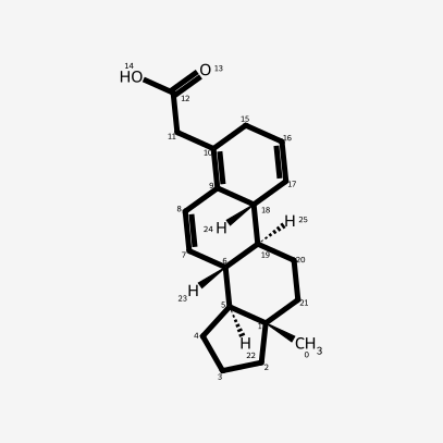 C[C@@]12CCC[C@H]1[C@@H]1C=CC3=C(CC(=O)O)CC=C[C@@H]3[C@H]1CC2